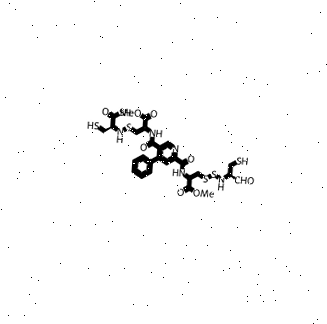 COC(=O)C(CSSN[C@H](C=O)CS)NC(=O)c1cc(-c2ccccc2)c(C(=O)NC(CSN[C@@H](CS)C(=O)S)C(=O)OC)cn1